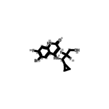 O=c1cc(N[C@@H](C2CC2)C(F)(F)CO)c2cc(Br)c(F)cc2[nH]1